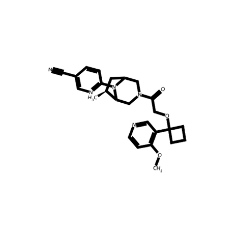 COc1ccncc1C1(OCC(=O)N2CC3C[C@H](C)C(C2)N3c2ccc(C#N)cn2)CCC1